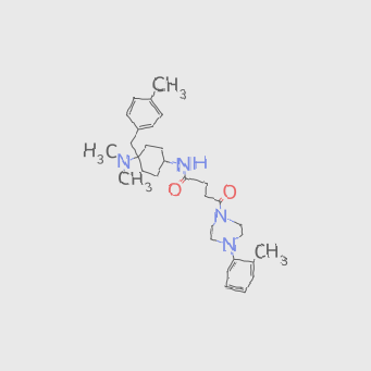 Cc1ccc(CC2(N(C)C)CCC(NC(=O)CCC(=O)N3CCN(c4ccccc4C)CC3)CC2)cc1